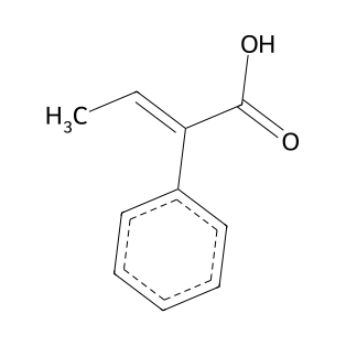 C/C=C(/C(=O)O)c1ccccc1